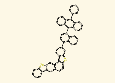 c1ccc(-c2c3ccccc3c(-c3ccc(-c4ccc5c(c4)sc4ccc6cc7c(cc6c45)sc4ccccc47)c4ccccc34)c3ccccc23)cc1